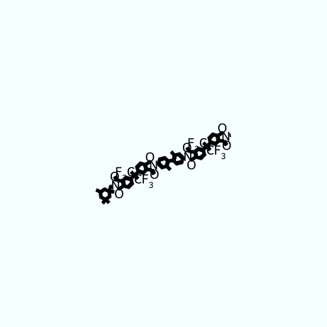 Cc1cc(N2C(=O)c3ccc(C(c4ccc5c(c4)C(=O)N(C)C5=O)(C(F)(F)F)C(F)(F)F)cc3C2=O)ccc1-c1ccc(N2C(=O)c3ccc(C(c4ccc5c(c4)C(=O)N(CC4(C)CC(C)CC(C)(C)C4)C5=O)(C(F)(F)F)C(F)(F)F)cc3C2=O)cc1C